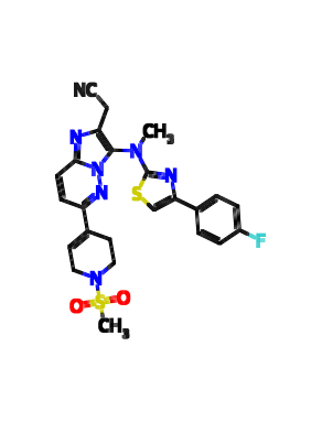 CN(c1nc(-c2ccc(F)cc2)cs1)c1c(CC#N)nc2ccc(C3=CCN(S(C)(=O)=O)CC3)nn12